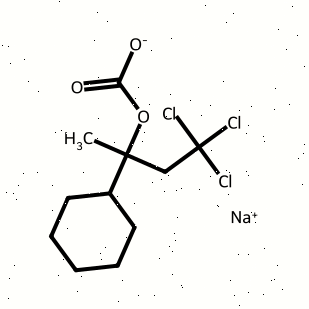 CC(CC(Cl)(Cl)Cl)(OC(=O)[O-])C1CCCCC1.[Na+]